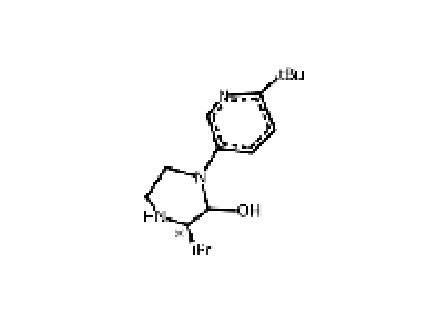 CC(C)[C@H]1NCCN(c2ccc(C(C)(C)C)nc2)C1O